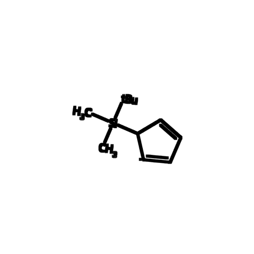 CC(C)(C)[Si](C)(C)C1[C]=CC=C1